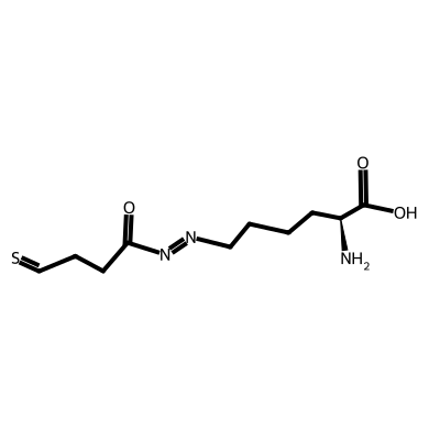 N[C@@H](CCCCN=NC(=O)CCC=S)C(=O)O